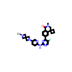 CCN1CC2(C1)CN(c1ccc(Nc3ncc(F)c(-c4ccc5c(c4)C4(CCC4)CN(C)C5=O)n3)nc1)C2